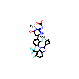 CN1C(=O)C[C@@](C)(c2cccc(-n3c(C4CCC4)nc4ccc(F)c(C(F)(F)F)c43)c2F)N/C1=N/C(=O)O